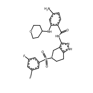 Nc1ccc(C(=O)Nc2n[nH]c3c2CN(S(=O)(=O)c2cc(F)cc(F)c2)CC3)c(NC2CCOCC2)c1